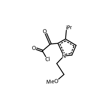 COCCn1ccc(C(C)C)c1C(=O)C(=O)Cl